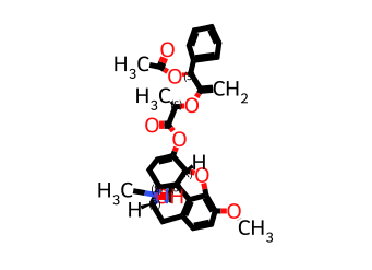 C=C(O[C@@H](C)C(=O)OC1=CC[C@@]2(O)[C@H]3Cc4ccc(OC)c5c4[C@@]2(CCN3C)[C@H]1O5)[C@@H](OC(C)=O)c1ccccc1